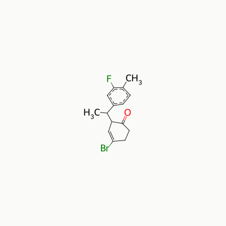 Cc1ccc(C(C)C2C=C(Br)CCC2=O)cc1F